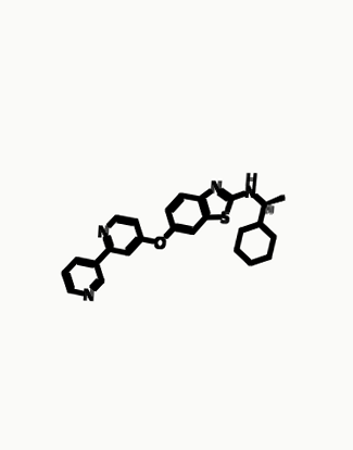 C[C@H](Nc1nc2ccc(Oc3ccnc(-c4cccnc4)c3)cc2s1)C1CCCCC1